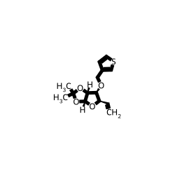 C=C[C@H]1O[C@@H]2OC(C)(C)O[C@@H]2[C@H]1OCc1ccsc1